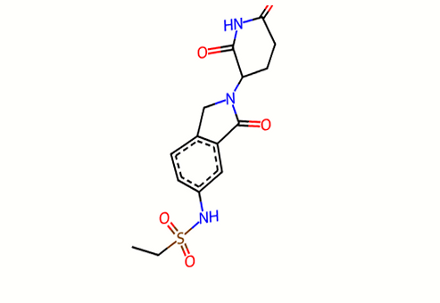 CCS(=O)(=O)Nc1ccc2c(c1)C(=O)N(C1CCC(=O)NC1=O)C2